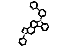 c1ccc(-n2ccc3c4ccc5c(c4ccc32)c2ccccc2n5-c2cccc(-c3ccccn3)c2)cc1